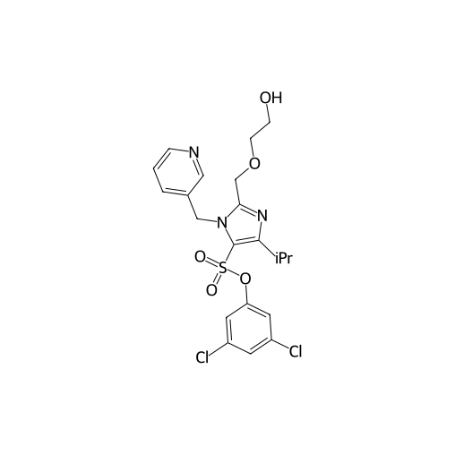 CC(C)c1nc(COCCO)n(Cc2cccnc2)c1S(=O)(=O)Oc1cc(Cl)cc(Cl)c1